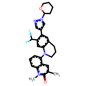 Cc1cc2c(N3CCCc4cc(-c5cnn(C6CCCCO6)c5)c(C(F)F)cc43)cccc2n(C)c1=O